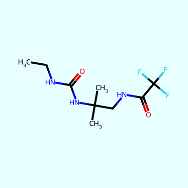 CCNC(=O)NC(C)(C)CNC(=O)C(F)(F)F